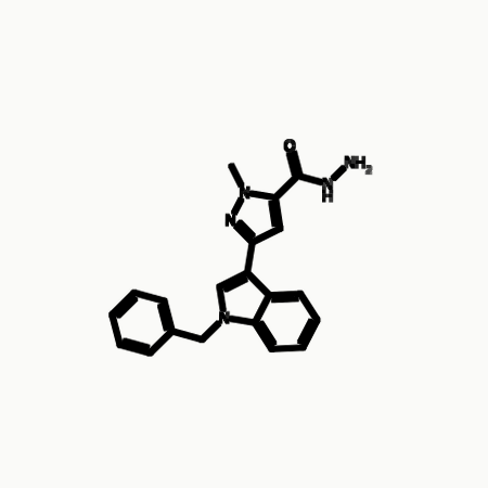 Cn1nc(-c2cn(Cc3ccccc3)c3ccccc23)cc1C(=O)NN